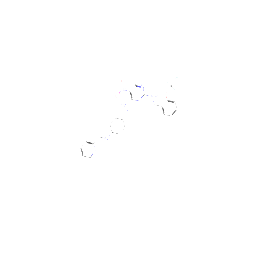 O=[N+]([O-])c1cnc(NCc2ccccc2OC(F)(F)F)nc1NC[C@H]1CC[C@H](NCc2ccccn2)CC1